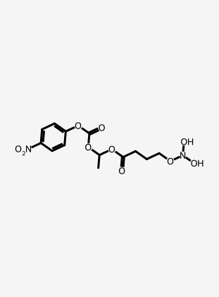 CC(OC(=O)CCCON(O)O)OC(=O)Oc1ccc([N+](=O)[O-])cc1